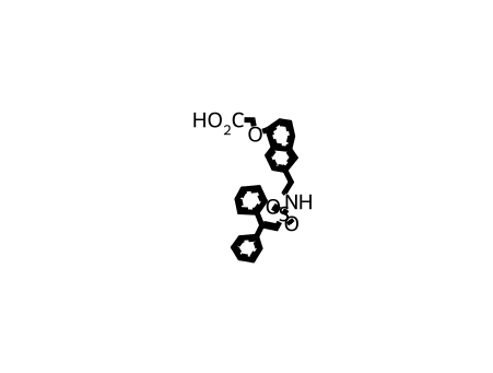 O=C(O)COc1cccc2cc(CCNS(=O)(=O)C=C(c3ccccc3)c3ccccc3)ccc12